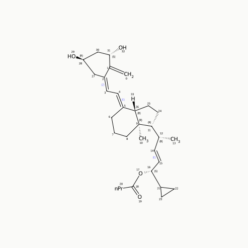 C=C1/C(=C\C=C2/CCC[C@]3(C)[C@@H]([C@H](C)/C=C/[C@@H](OC(=O)CCC)C4CC4)CC[C@@H]23)C[C@@H](O)C[C@@H]1O